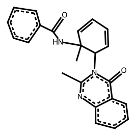 Cc1nc2ccccc2c(=O)n1C1C=CC=CC1(C)NC(=O)c1ccccc1